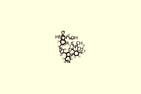 CC(C)N(C)C(=O)c1cc(F)ccc1-n1cc(C2CCN(Cc3ccc4c(c3)[nH]c(=O)n4CCO)C2)c2ccncc21